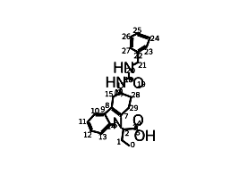 CCC(C(=O)O)n1c2c(c3ccccc31)C[C@@H](NC(=O)NCc1ccccc1)CC2